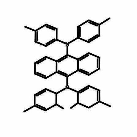 CC1=CC(C)C(N(C2=CC=C(C)CC2C)c2c3ccccc3c(N(c3ccc(C)cc3)c3ccc(C)cc3)c3ccccc23)C=C1